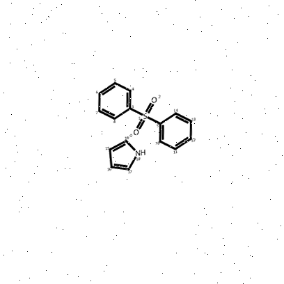 O=S(=O)(c1ccccc1)c1ccccc1.c1cc[nH]c1